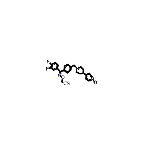 N#CCO/N=C(\c1ccc(CN2CCC(c3cc[n+]([O-])cc3)CC2)cc1)c1ccc(F)c(F)c1